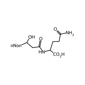 CCCCCCCCCC(O)CC(=O)NC(CCC(N)=O)C(=O)O